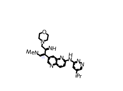 CN/C=C(\C(=N)CN1CCOCC1)c1cnc2ccc(Nc3cc(C(C)C)cnn3)nc2c1